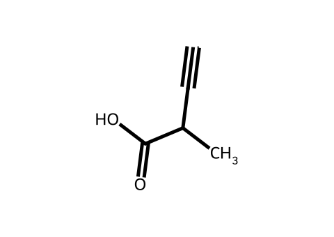 [C]#CC(C)C(=O)O